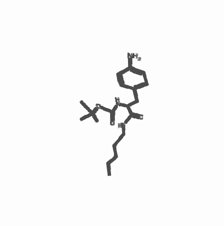 CCCCCNC(=O)C(Cc1ccc(N)cc1)NC(=O)OC(C)(C)C